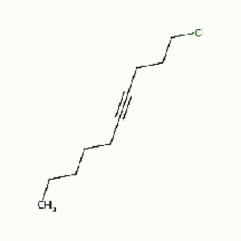 CCCCCC#CCCCCl